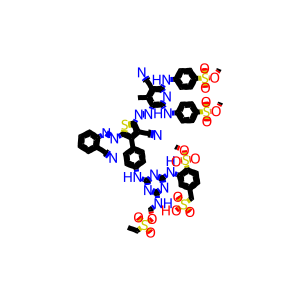 CCS(=O)(=O)OCNc1nc(Nc2ccc(-c3c(N=Nc4ccccc4C#N)sc(N=Nc4c(Nc5ccc(S(=O)(=O)OC)cc5)nc(Nc5ccc(S(=O)(=O)OC)cc5)c(C#N)c4C)c3C#N)cc2)nc(Nc2cc(CS(=O)(=O)O)ccc2S(=O)(=O)OC)n1